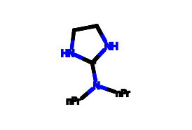 CCCN(CCC)[C]1NCCN1